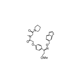 COCC/C(=N/OCc1ccc2ccsc2c1)c1ccc(OCC(=O)N(C)CC(=O)N2CCCCC2)cc1